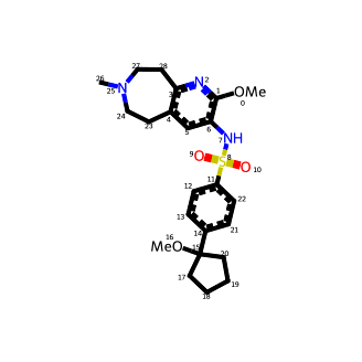 COc1nc2c(cc1NS(=O)(=O)c1ccc(C3(OC)CCCC3)cc1)CCN(C)CC2